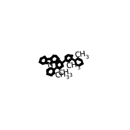 CC1=CC=CCC1c1cccc(-c2ccc(-c3c(C)cccc3-n3c4ccccc4c4ccccc43)c(C)c2)c1C